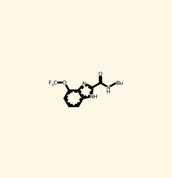 CCC(C)NC(=O)c1nc2c(OC(F)(F)F)cccc2[nH]1